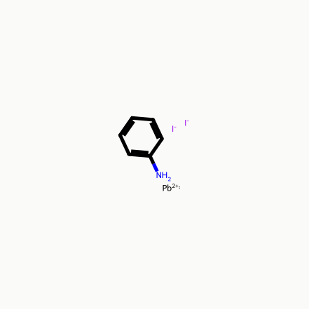 Nc1ccccc1.[I-].[I-].[Pb+2]